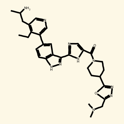 CCc1c(CC(C)N)cncc1-c1ccc2[nH]nc(-c3ncc(C(=O)N4CCC(c5nnc(CN(C)C)o5)CC4)[nH]3)c2c1